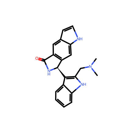 CN(C)Cc1[nH]c2ccccc2c1[C@H]1NC(=O)c2cc3cc[nH]c3cc21